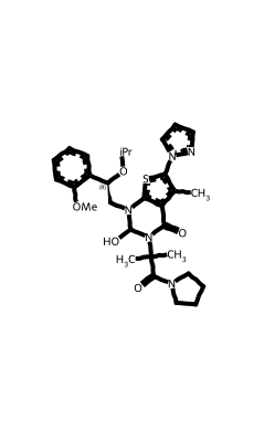 COc1ccccc1[C@H](CN1c2sc(-n3cccn3)c(C)c2C(=O)N(C(C)(C)C(=O)N2CCCC2)C1O)OC(C)C